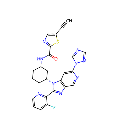 C#Cc1cnc(C(=O)N[C@H]2CCC[C@@H](n3c(-c4ncccc4F)nc4cnc(-n5cncn5)cc43)C2)s1